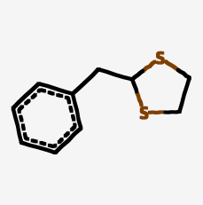 c1ccc(CC2SCCS2)cc1